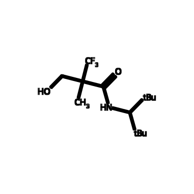 CC(C)(C)C(NC(=O)C(C)(CO)C(F)(F)F)C(C)(C)C